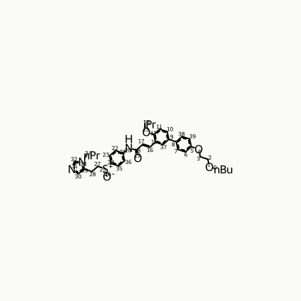 CCCCOCCOc1ccc(-c2ccc(OC(C)C)c(/C=C/C(=O)Nc3ccc([S@@+]([O-])CCc4cncn4CCC)cc3)c2)cc1